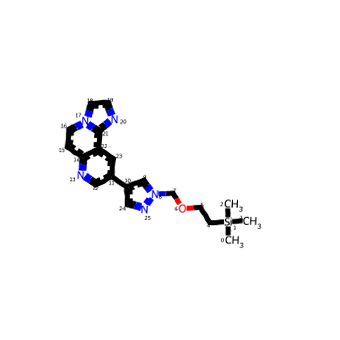 C[Si](C)(C)CCOCn1cc(-c2cnc3ccn4ccnc4c3c2)cn1